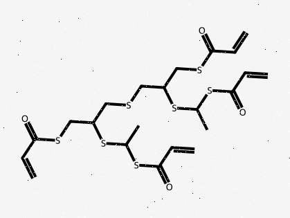 C=CC(=O)SCC(CSCC(CSC(=O)C=C)SC(C)SC(=O)C=C)SC(C)SC(=O)C=C